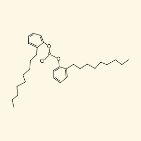 CCCCCCCCCc1ccccc1OP(Cl)Oc1ccccc1CCCCCCCCC